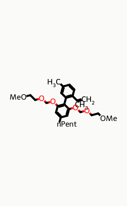 C=C(C)c1ccc(C)cc1-c1c(OCOCCOC)cc(CCCCC)cc1OCOCCOC